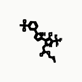 CSCOC(=O)Cn1nc(C(F)(F)F)c(Cl)c1-c1ccc(-c2cccc(S(C)(=O)=O)c2)[nH]1